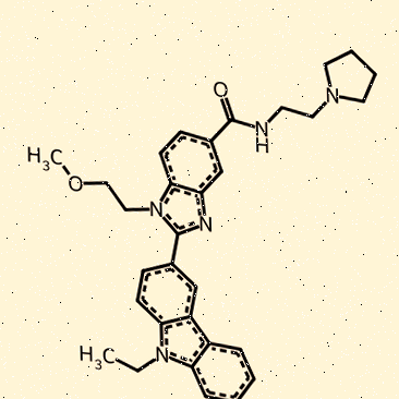 CCn1c2ccccc2c2cc(-c3nc4cc(C(=O)NCCN5CCCC5)ccc4n3CCOC)ccc21